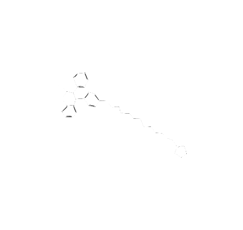 OC1Oc2ccccc2C(c2ccc(OCCCCCCCCCCCCN3CCCC3)cc2)C1c1ccccc1